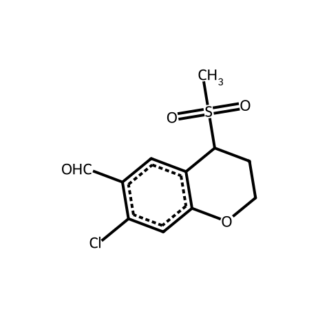 CS(=O)(=O)C1CCOc2cc(Cl)c(C=O)cc21